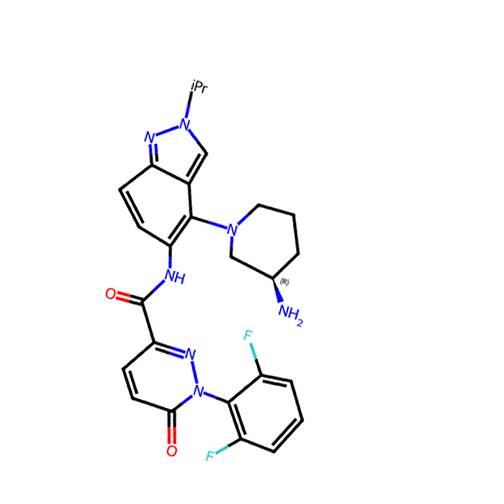 CC(C)n1cc2c(N3CCC[C@@H](N)C3)c(NC(=O)c3ccc(=O)n(-c4c(F)cccc4F)n3)ccc2n1